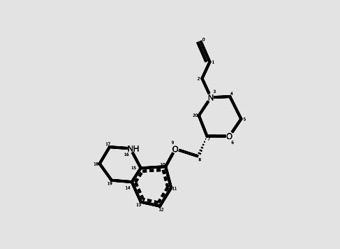 C=CCN1CCO[C@H](COc2cccc3c2NCCC3)C1